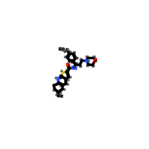 CC(C)(C)[C@H]1CCc2nc3sc(C(=O)NC(CCN4CCOCC4)c4ccc(C(=O)O)cc4)cc3cc2C1